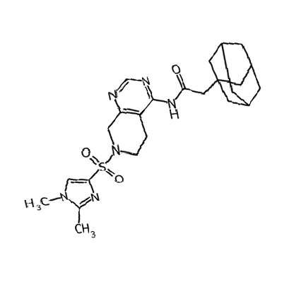 Cc1nc(S(=O)(=O)N2CCc3c(ncnc3NC(=O)CC34CC5CC(CC(C5)C3)C4)C2)cn1C